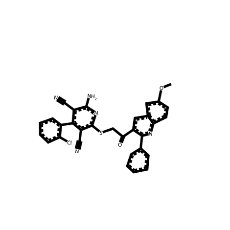 COc1ccc2nc(-c3ccccc3)c(C(=O)CSc3nc(N)c(C#N)c(-c4ccccc4Cl)c3C#N)cc2c1